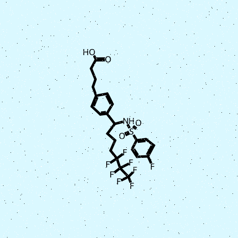 O=C(O)CCCc1ccc(C(CCCC(F)(F)C(F)(F)C(F)(F)F)NS(=O)(=O)c2ccc(F)cc2)cc1